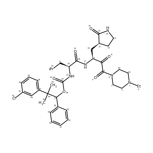 CCN1CCN(C(=O)C(=O)[C@H](C[C@@H]2CCNC2=O)NC(=O)[C@H](CC(C)C)NC(=O)OC(c2ccccc2)C(C)(C)c2cccc(Cl)c2)CC1